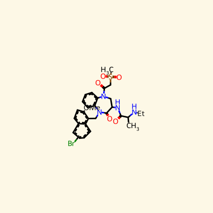 CCNC(C)C(=O)NC1CN(C(=O)CS(C)(=O)=O)c2ccccc2N(Cc2c(OC)ccc3cc(Br)ccc23)C1=O